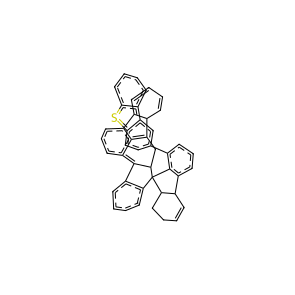 C1=CC2C3=c4c(cccc4=C4c5ccccc5C5(c6c(-c7ccc8sc9ccccc9c8c7)cccc6C6C=CCCC65)C4C3)C2C=C1